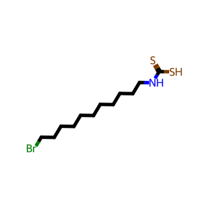 S=C(S)NCCCCCCCCCCCBr